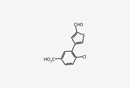 O=Cc1cc(-c2cc(C(=O)O)ccc2Cl)cs1